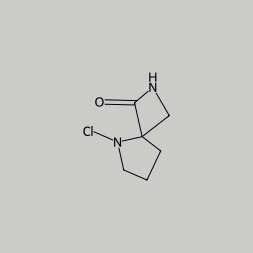 O=C1NCC12CCCN2Cl